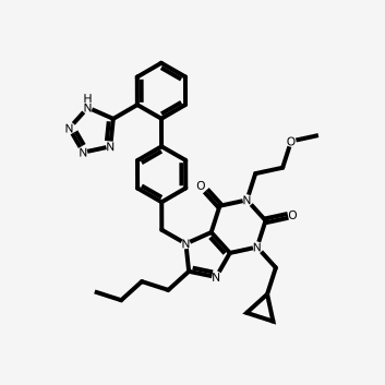 CCCCc1nc2c(c(=O)n(CCOC)c(=O)n2CC2CC2)n1Cc1ccc(-c2ccccc2-c2nnn[nH]2)cc1